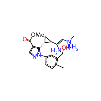 COC(=O)c1cnn(-c2ccc(C)c(CO)c2)c1[C@@H]1CC1/C(N)=C/N(C)N